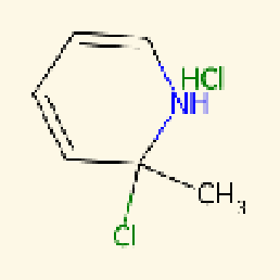 CC1(Cl)C=CC=CN1.Cl